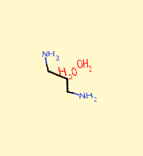 NCCCN.O.O